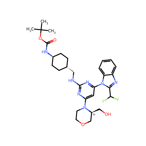 CC(C)(C)OC(=O)N[C@H]1CC[C@H](CNc2nc(N3CCOC[C@@H]3CO)cc(-n3c(C(F)F)nc4ccccc43)n2)CC1